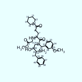 COC(=O)CN[C@@H](CCC(=O)N1CCCCC1)C(=O)N(Cc1cccc(OC)c1)C[C@@H](O)[C@@H](N)Cc1ccccc1